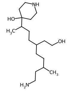 CC(CCN)CCC(CCO)CCC(C)C1(O)CCNCC1